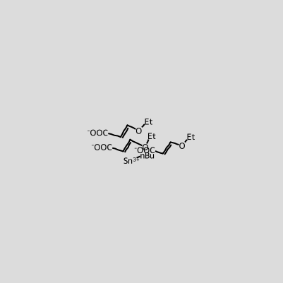 CCC[CH2][Sn+3].CCOC=CC(=O)[O-].CCOC=CC(=O)[O-].CCOC=CC(=O)[O-]